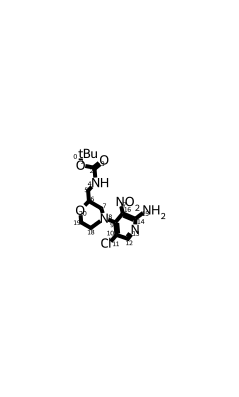 CC(C)(C)OC(=O)NCC1CN(c2c(Cl)cnc(N)c2[N+](=O)[O-])CCO1